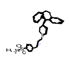 NS(=O)(=O)c1ccc(/C=C/CN2CCC(=C3c4ccccc4CCc4ccccc43)CC2)cc1